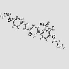 C=CCOc1ccc(C2CCC(CCc3ccc(OCC)cc3)OC2)c(C(F)F)c1F